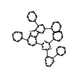 c1ccc(-c2cc(-c3ccccc3)c3oc4c(-c5ccccc5)ccc(-c5nc(-c6ccccc6)nc(-c6ccccc6-c6ccccc6)n5)c4c3c2)cc1